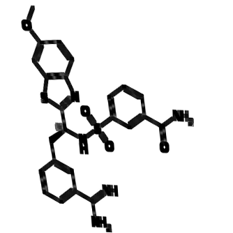 COc1ccc2nc([C@H](Cc3cccc(C(=N)N)c3)NS(=O)(=O)c3cccc(C(N)=O)c3)sc2c1